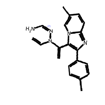 C=CN(/N=C\N)C(=C)c1c(-c2ccc(C)cc2)nc2ccc(C)cn12